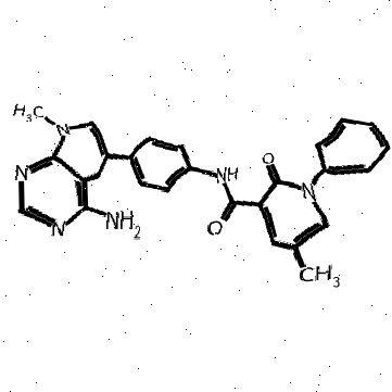 Cc1cc(C(=O)Nc2ccc(-c3cn(C)c4ncnc(N)c34)cc2)c(=O)n(-c2ccccc2)c1